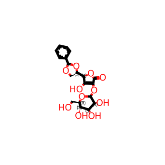 O=C1O[C@H]([C@@H]2COC(c3ccccc3)O2)C(O)=C1OC1O[C@H](CO)[C@@H](O)[C@H](O)[C@H]1O